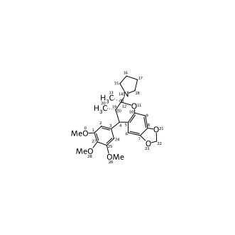 COc1cc(C2c3cc4c(cc3O[C@](C)(N3CCCC3)[C@H]2C)OCO4)cc(OC)c1OC